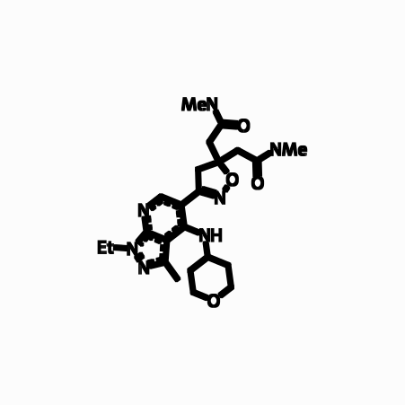 CCn1nc(C)c2c(NC3CCOCC3)c(C3=NOC(CC(=O)NC)(CC(=O)NC)C3)cnc21